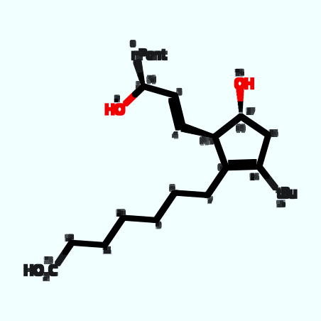 CCCCC[C@H](O)C=C[C@@H]1C(CCCCCCC(=O)O)=C(C(C)(C)C)C[C@H]1O